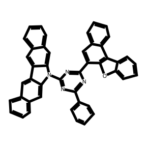 c1ccc(-c2nc(-c3cc4ccccc4c4c3oc3ccccc34)nc(-n3c4cc5ccccc5cc4c4cc5ccccc5cc43)n2)cc1